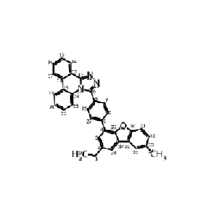 CCc1cc(-c2ccc(-c3nnc4c5ccccc5c5ccccc5n34)cc2)c2oc3ccc(C)cc3c2c1